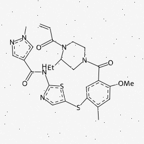 C=CC(=O)N1CCN(C(=O)c2cc(Sc3cnc(NC(=O)c4cnn(C)c4)s3)c(C)cc2OC)CC1CC